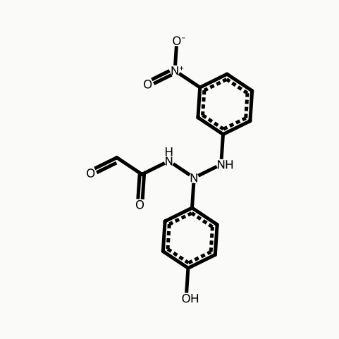 O=CC(=O)NN(Nc1cccc([N+](=O)[O-])c1)c1ccc(O)cc1